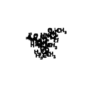 CCn1cc(Cl)cc(Nc2cc(N(C)C(=O)OC(C)(C)C)n3ncc(C(=O)NC4CC4)c3n2)c1=O